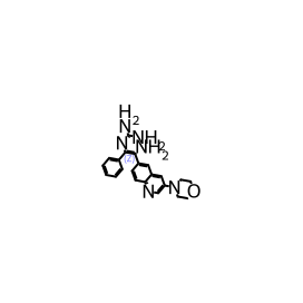 NC(N)=N/C(=C(\N)c1ccc2ncc(N3CCOCC3)cc2c1)c1ccccc1